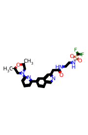 C[C@@H]1CN(c2cccc(-c3ccc4cnc(CC(=O)NCCNS(=O)(=O)C(F)F)cc4c3)n2)C[C@H](C)O1